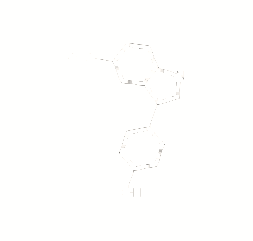 O=C(O)c1ccc2[nH]cc(-c3ccc(O)cc3)c2c1